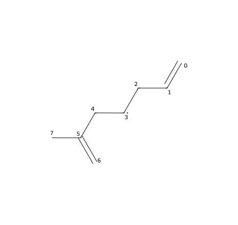 C=CC[CH]CC(=C)C